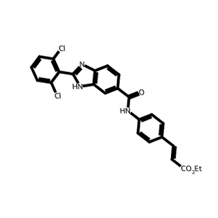 CCOC(=O)/C=C/c1ccc(NC(=O)c2ccc3nc(-c4c(Cl)cccc4Cl)[nH]c3c2)cc1